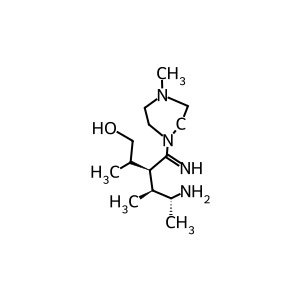 CC(CO)[C@@H](C(=N)N1CCN(C)CC1)[C@H](C)[C@@H](C)N